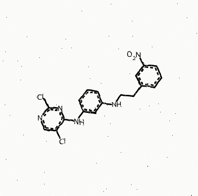 O=[N+]([O-])c1cccc(CCNc2cccc(Nc3nc(Cl)ncc3Cl)c2)c1